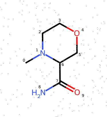 CN1CCOCC1C(N)=O